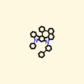 c1ccc(-c2cccc(-n3c4cc5c(c6c4c4c7c(cccc7ccc43)-c3ccccc3-6)c3ccccc3n5-c3ccccc3)c2)cc1